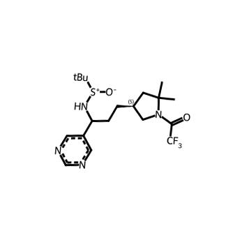 CC1(C)C[C@H](CCC(N[S+]([O-])C(C)(C)C)c2cncnc2)CN1C(=O)C(F)(F)F